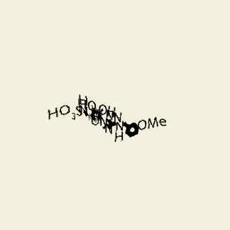 COc1cccc(CNc2ncnc3c2ncn3[C@@H]2O[C@H](CNS(=O)(=O)O)[C@@H](O)[C@H]2O)c1